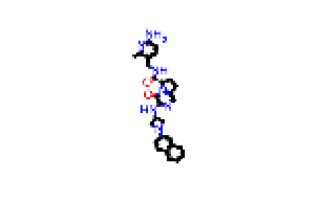 Cc1nc(N)ccc1CNC(=O)[C@@H]1CCc2cnc(NC3CN(c4ccc5ccccc5c4)C3)c(=O)n21